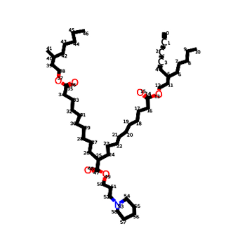 C=C=C=C=CC(CCCCC)CCOC(=O)CCCCCCCCCC(CCCCCCCCCC(=O)OCCC(C)CCCCC)C(=O)OCCCN1CCCCC1